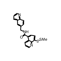 CSSc1ccc(C(=O)NCc2ccc3ncccc3c2)c2cccnc12